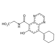 O=C(O)CNC(=O)c1c(O)cc(C2=CCCCC2)c2nccnc12